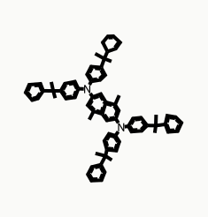 Cc1cc(N(c2ccc(C(C)(C)c3ccccc3)cc2)c2ccc(C(C)(C)C3C=CC=CC3)cc2)cc2c(C)cc(N(c3ccc(C(C)(C)c4ccccc4)cc3)c3ccc(C(C)(C)c4ccccc4)cc3)cc12